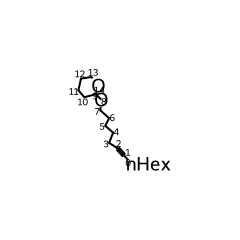 CCCCCCC#CCCCCCOC1CCCCO1